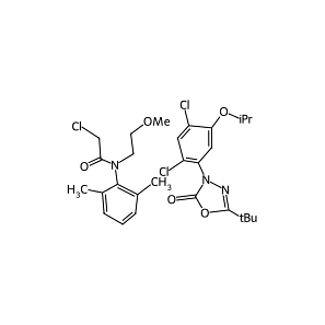 CC(C)Oc1cc(-n2nc(C(C)(C)C)oc2=O)c(Cl)cc1Cl.COCCN(C(=O)CCl)c1c(C)cccc1C